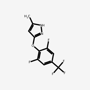 Cc1cc(Oc2c(F)cc(C(F)(F)F)cc2F)n[nH]1